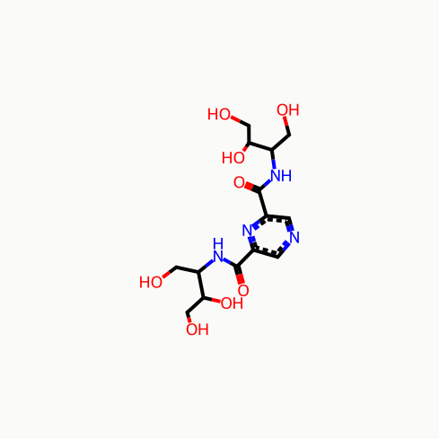 O=C(NC(CO)C(O)CO)c1cncc(C(=O)NC(CO)C(O)CO)n1